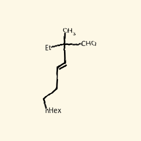 CCCCCCCCC=CC(C)(C=O)CC